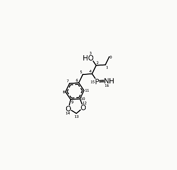 CCC(O)C(Cc1ccc2c(c1)OCO2)P=N